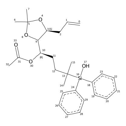 C=CC[C@@H]1OC(C)(C)OC1[C@@H](CCC(C)(C)[Si](O)(c1ccccc1)c1ccccc1)OC(C)=O